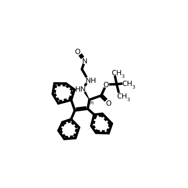 CC(C)(C)OC(=O)[C@H](NNCN=O)C(=C(c1ccccc1)c1ccccc1)c1ccccc1